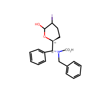 O=C(O)N(Cc1ccccc1)[C@H](c1ccccc1)[C@@H]1CCC(I)C(O)O1